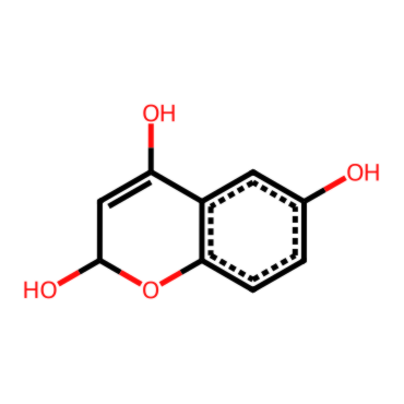 OC1=CC(O)Oc2ccc(O)cc21